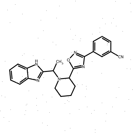 CC(c1nc2ccccc2[nH]1)N1CCCCC1c1nc(-c2cccc(C#N)c2)no1